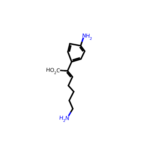 NCCCCC=C(C(=O)O)c1ccc(N)cc1